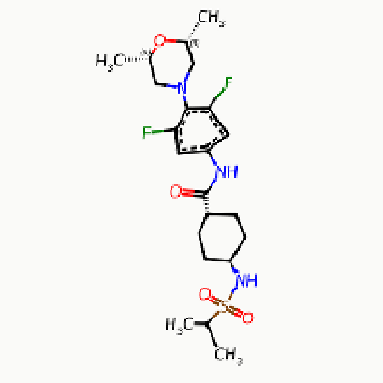 CC(C)S(=O)(=O)N[C@H]1CC[C@H](C(=O)Nc2cc(F)c(N3C[C@@H](C)O[C@@H](C)C3)c(F)c2)CC1